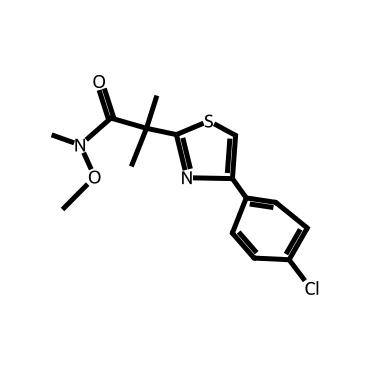 CON(C)C(=O)C(C)(C)c1nc(-c2ccc(Cl)cc2)cs1